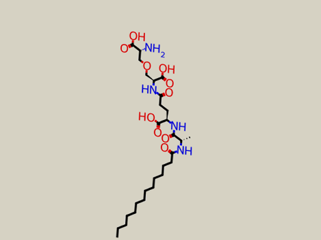 CCCCCCCCCCCCCC(=O)N[C@@H](C)C(=O)N[C@H](CCC(=O)N[C@@H](COC[C@@H](N)C(=O)O)C(=O)O)C(=O)O